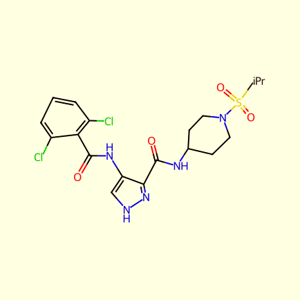 CC(C)S(=O)(=O)N1CCC(NC(=O)c2n[nH]cc2NC(=O)c2c(Cl)cccc2Cl)CC1